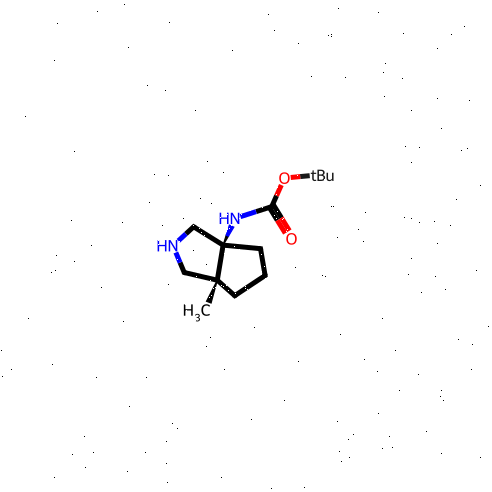 CC(C)(C)OC(=O)N[C@@]12CCC[C@]1(C)CNC2